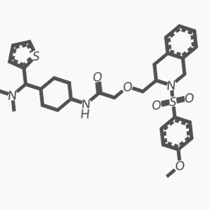 COc1ccc(S(=O)(=O)N2Cc3ccccc3CC2COCC(=O)NC2CCC(C(c3cccs3)N(C)C)CC2)cc1